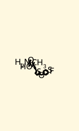 CC(C#Cc1ccc(Oc2ccc(SF)cc2)s1)N(O)C(N)=O